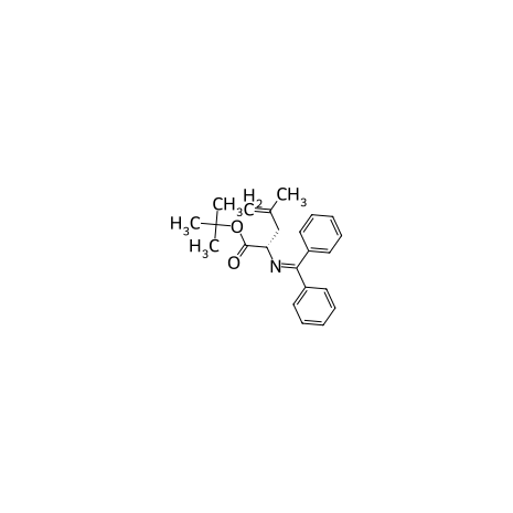 C=C(C)C[C@H](N=C(c1ccccc1)c1ccccc1)C(=O)OC(C)(C)C